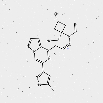 C=CN(/N=C\Cc1nc(-c2cc(C)[nH]n2)cn2nccc12)[C@]1(CC#N)C[C@@H](C#N)C1